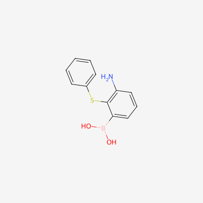 Nc1cccc(B(O)O)c1Sc1ccccc1